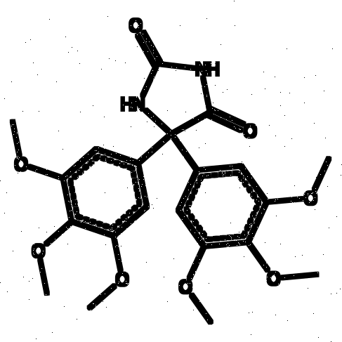 COc1cc(C2(c3cc(OC)c(OC)c(OC)c3)NC(=O)NC2=O)cc(OC)c1OC